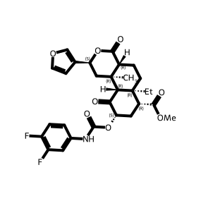 CC[C@@]12CC[C@H]3C(=O)O[C@H](c4ccoc4)C[C@]3(C)[C@H]1C(=O)[C@@H](OC(=O)Nc1ccc(F)c(F)c1)C[C@H]2C(=O)OC